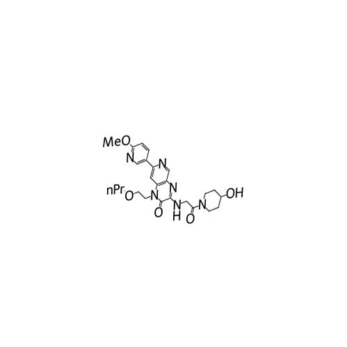 CCCOCCn1c(=O)c(NCC(=O)N2CCC(O)CC2)nc2cnc(-c3ccc(OC)nc3)cc21